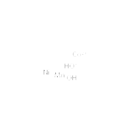 [Co+2].[Mn].[Ni].[OH-].[OH-]